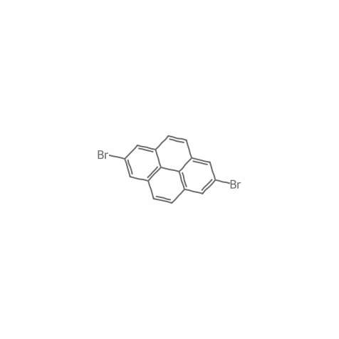 Brc1cc2ccc3cc(Br)cc4ccc(c1)c2c34